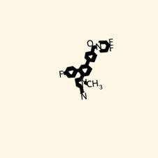 Cn1c(C#N)ccc1-c1ccc(-c2ccc(C(=O)N3CCC(F)(F)CC3)cc2)cc1-c1ccc(F)cc1